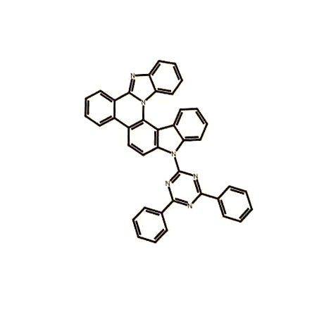 c1ccc(-c2nc(-c3ccccc3)nc(-n3c4ccccc4c4c3ccc3c5ccccc5c5nc6ccccc6n5c34)n2)cc1